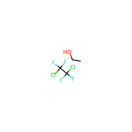 CCO.FC(F)(Cl)C(F)(F)Cl